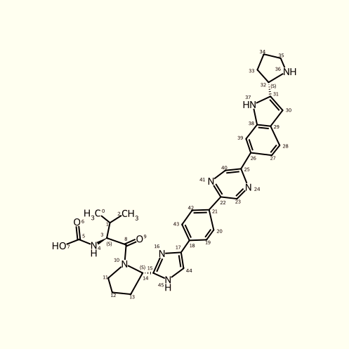 CC(C)[C@H](NC(=O)O)C(=O)N1CCC[C@H]1c1nc(-c2ccc(-c3cnc(-c4ccc5cc([C@@H]6CCCN6)[nH]c5c4)cn3)cc2)c[nH]1